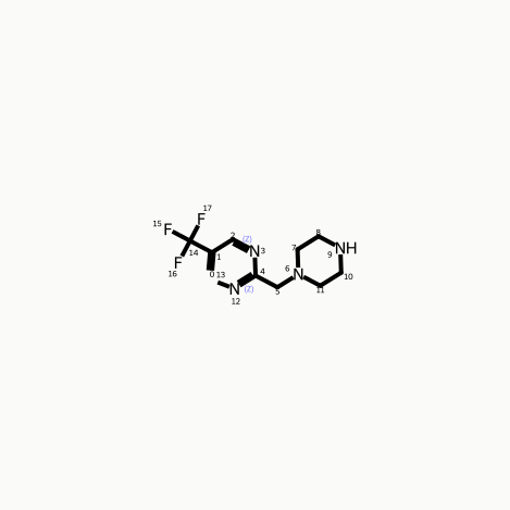 C=C(/C=N\C(CN1CCNCC1)=N/C)C(F)(F)F